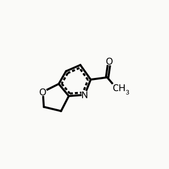 CC(=O)c1ccc2c(n1)CCO2